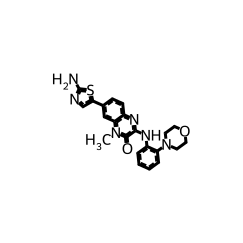 Cn1c(=O)c(Nc2ccccc2N2CCOCC2)nc2ccc(-c3cnc(N)s3)cc21